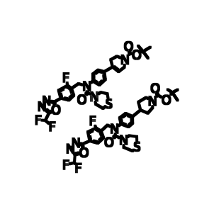 CC(C)(C)OC(=O)N1CC=C(c2ccc(N(Cc3ccc(-c4nnc(C(F)F)o4)cc3F)C(=O)N3CCSCC3)cc2)CC1.CC(C)(C)OC(=O)N1CCC(c2ccc(N(Cc3ccc(-c4nnc(C(F)F)o4)cc3F)C(=O)N3CCSCC3)cc2)CC1